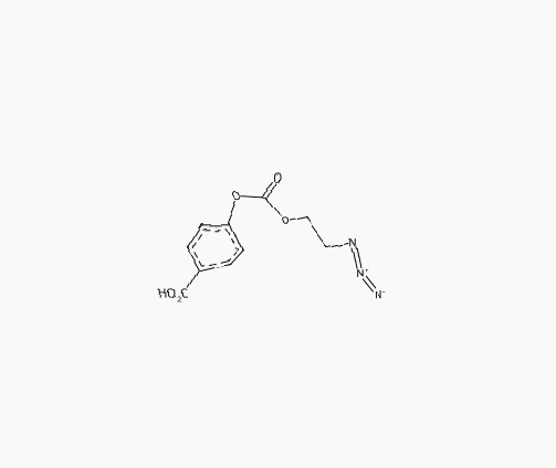 [N-]=[N+]=NCCOC(=O)Oc1ccc(C(=O)O)cc1